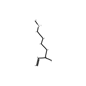 [CH2]SCCCCC(C)C=C